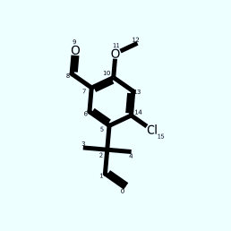 C=CC(C)(C)c1cc(C=O)c(OC)cc1Cl